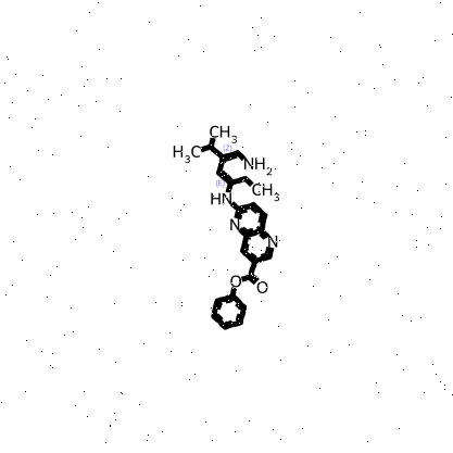 CC/C(=C\C(=C/N)C(C)C)Nc1ccc2ncc(C(=O)Oc3ccccc3)cc2n1